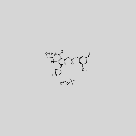 CC(C)(C)OC=O.COc1cc(CC(=O)Cc2nn([C@H]3CCNC3)c(NCCO)c2C(N)=O)cc(OC)c1